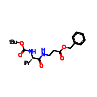 CC(C)[C@H](NC(=O)OC(C)(C)C)C(=O)NCCC(=O)OCc1ccccc1